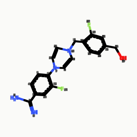 N=C(N)c1ccc(N2C=CN(Cc3ccc(CO)cc3F)C=C2)c(F)c1